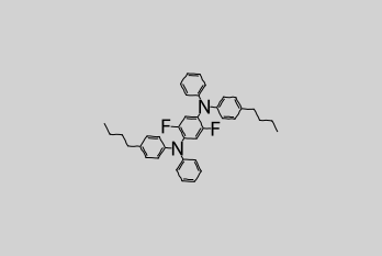 CCCCc1ccc(N(c2ccccc2)c2cc(F)c(N(c3ccccc3)c3ccc(CCCC)cc3)cc2F)cc1